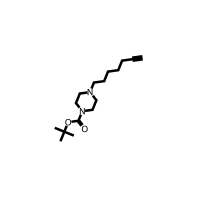 C#CCCCCCN1CCN(C(=O)OC(C)(C)C)CC1